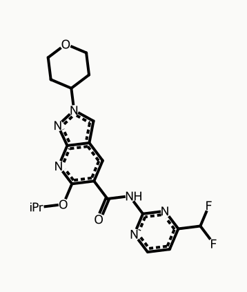 CC(C)Oc1nc2nn(C3CCOCC3)cc2cc1C(=O)Nc1nccc(C(F)F)n1